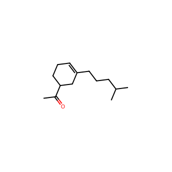 CC(=O)C1CCC=C(CCCC(C)C)C1